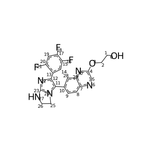 OCCOc1cnc2ccc(-c3c(-c4cc(F)c(F)cc4F)nc4n3CCN4)cc2n1